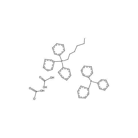 O=C(O)O.O=C([O-])O.[CH2]CCCCC[P+](c1ccccc1)(c1ccccc1)c1ccccc1.c1ccc(P(c2ccccc2)c2ccccc2)cc1